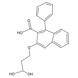 O=C(O)c1c(OCCC(O)O)cc2ccccc2c1-c1ccccc1